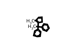 CC1=C(C(C)(c2ccccc2)c2ccccc2)CC=C1